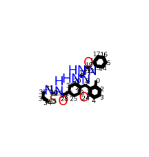 Cc1ccccc1C1N=C(Nc2nc3ccccc3o2)NC2=C1C(=O)CC(C(=O)NC1=NCC=CS1)C2